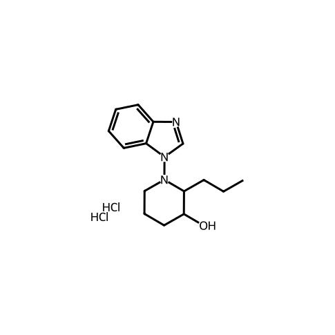 CCCC1C(O)CCCN1n1cnc2ccccc21.Cl.Cl